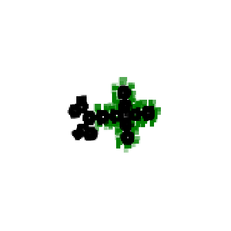 Fc1c(F)c(F)c(-c2c(F)c(F)c([B-](c3c(F)c(F)c(-c4c(F)c(F)c(F)c(F)c4F)c(F)c3F)(c3c(F)c(F)c(-c4c(F)c(F)c(F)c(F)c4F)c(F)c3F)c3c(F)c(F)c(-c4c(F)c(F)c(-c5cc(-c6cc7c(c8ccccc68)CC7)cc(-c6cc7c(c8ccccc68)CC7)c5)c(F)c4F)c(F)c3F)c(F)c2F)c(F)c1F